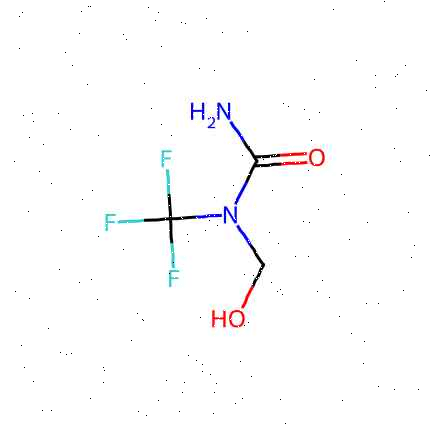 NC(=O)N(CO)C(F)(F)F